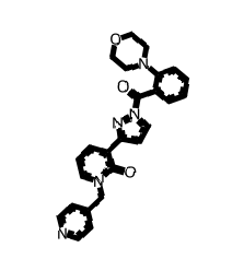 O=C(c1ccccc1N1CCOCC1)n1ccc(-c2cccn(Cc3ccncc3)c2=O)n1